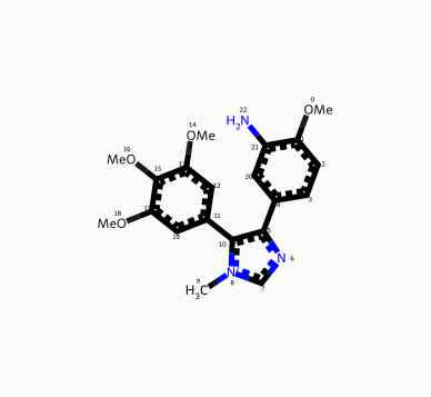 COc1ccc(-c2ncn(C)c2-c2cc(OC)c(OC)c(OC)c2)cc1N